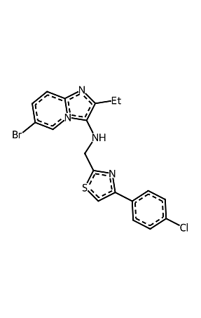 CCc1nc2ccc(Br)cn2c1NCc1nc(-c2ccc(Cl)cc2)cs1